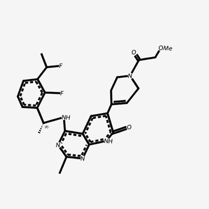 COCC(=O)N1CC=C(c2cc3c(N[C@H](C)c4cccc(C(C)F)c4F)nc(C)nc3[nH]c2=O)CC1